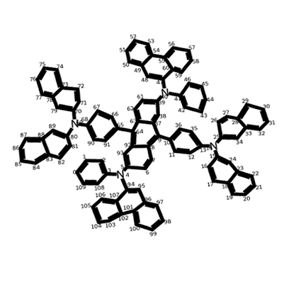 c1ccc(N(c2ccc3c(-c4ccc(N(c5ccc6ccccc6c5)c5ccc6ccccc6c5)cc4)c4cc(N(c5ccccc5)c5cc6ccccc6c6ccccc56)ccc4c(-c4ccc(N(c5ccc6ccccc6c5)c5ccc6ccccc6c5)cc4)c3c2)c2cc3ccccc3c3ccccc23)cc1